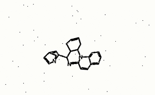 C1=CCC2C(C1)C(C1C=C3C=CN1C3)N=C1C=Cc3ccccc3N12